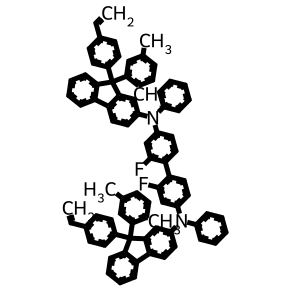 C=Cc1ccc(C2(c3cc(C)ccc3C)c3ccccc3-c3ccc(N(c4ccccc4)c4ccc(-c5ccc(N(c6ccccc6)c6ccc7c(c6)C(c6ccc(C=C)cc6)(c6cc(C)ccc6C)c6ccccc6-7)cc5F)c(F)c4)cc32)cc1